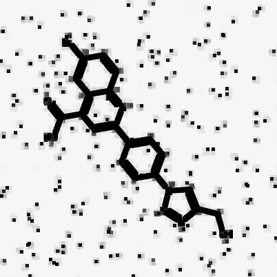 O=C(O)c1cc(-c2ccc(-n3cc(CO)nn3)cc2)nc2ccc(Br)cc12